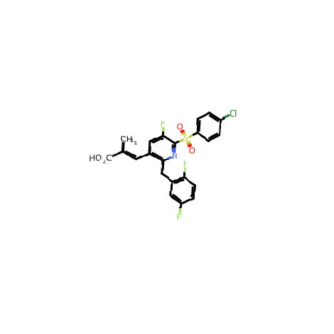 CC(=Cc1cc(F)c(S(=O)(=O)c2ccc(Cl)cc2)nc1Cc1cc(F)ccc1F)C(=O)O